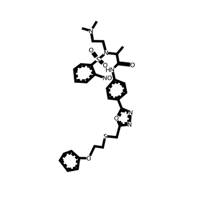 CC(C(=O)Nc1ccc(-c2nnc(CSCCOc3ccccc3)o2)cc1)N(CCN(C)C)S(=O)(=O)c1ccccc1[N+](=O)[O-]